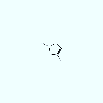 ClC1=CNN(Br)S1